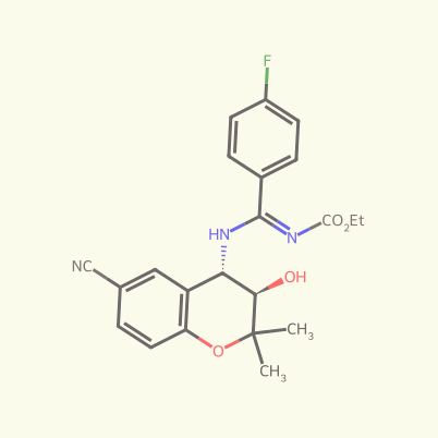 CCOC(=O)/N=C(/N[C@H]1c2cc(C#N)ccc2OC(C)(C)[C@@H]1O)c1ccc(F)cc1